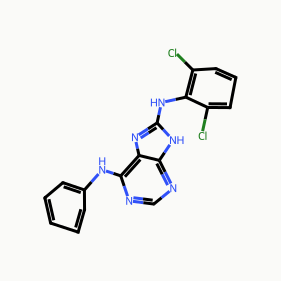 Clc1cccc(Cl)c1Nc1nc2c(Nc3ccccc3)ncnc2[nH]1